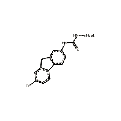 CCCCCCCNC(=S)Nc1ccc2c(c1)Cc1cc(Br)ccc1-2